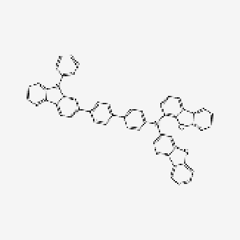 c1ccc(-n2c3ccccc3c3ccc(-c4ccc(-c5ccc(N(c6ccc7c(c6)sc6ccccc67)c6cccc7c6oc6ccccc67)cc5)cc4)cc32)cc1